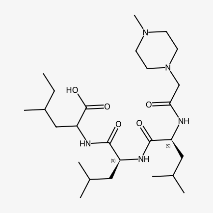 CCC(C)CC(NC(=O)[C@H](CC(C)C)NC(=O)[C@H](CC(C)C)NC(=O)CN1CCN(C)CC1)C(=O)O